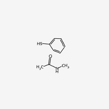 CNC(C)=O.Sc1ccccc1